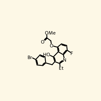 CCc1nc2c(F)ccc(OCC(=O)OC)c2c(O)c1Cc1ccc(Br)cc1